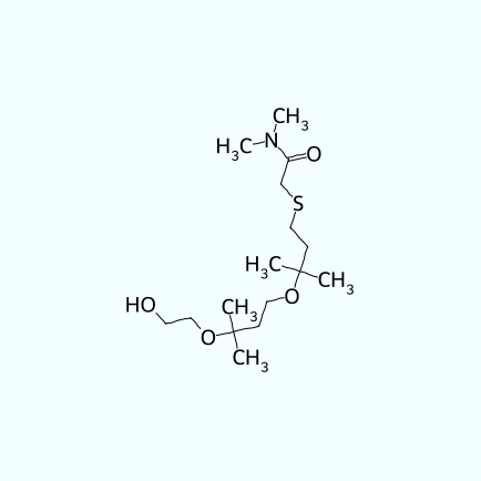 CN(C)C(=O)CSCCC(C)(C)OCCC(C)(C)OCCO